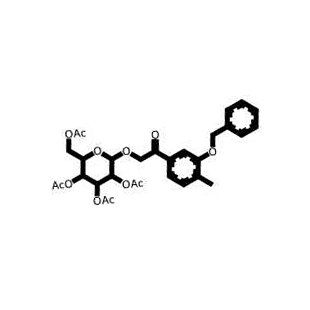 CC(=O)OCC1OC(OCC(=O)c2ccc(C)c(OCc3ccccc3)c2)C(OC(C)=O)C(OC(C)=O)C1OC(C)=O